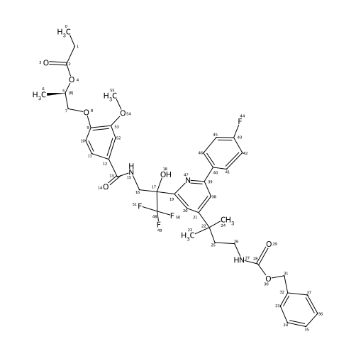 CCC(=O)O[C@H](C)COc1ccc(C(=O)NCC(O)(c2cc(C(C)(C)CCNC(=O)OCc3ccccc3)cc(-c3ccc(F)cc3)n2)C(F)(F)F)cc1OC